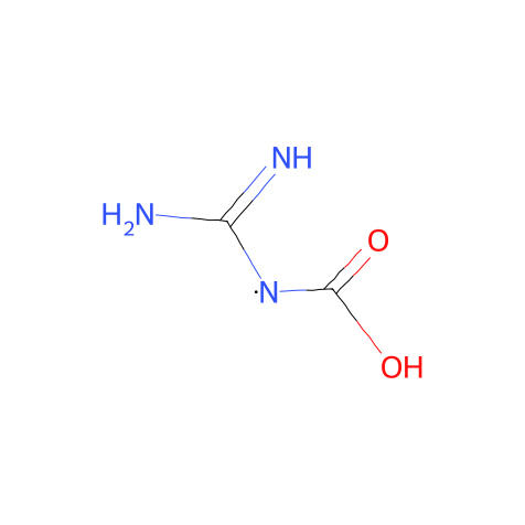 N=C(N)[N]C(=O)O